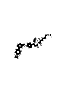 CC#C[C@@H](CC(=O)OC(=O)[C@@H](N)CCCCN)c1ccc(OCc2cccc(C3=CCC4(CC3)OCCO4)c2)cc1